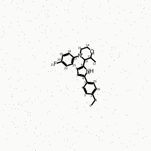 CCc1ccc(-c2ccc(C3C(C)OCCN3c3ccc(F)cc3)[nH]2)cc1